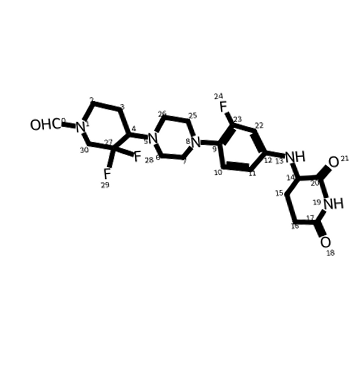 O=CN1CCC(N2CCN(c3ccc(NC4CCC(=O)NC4=O)cc3F)CC2)C(F)(F)C1